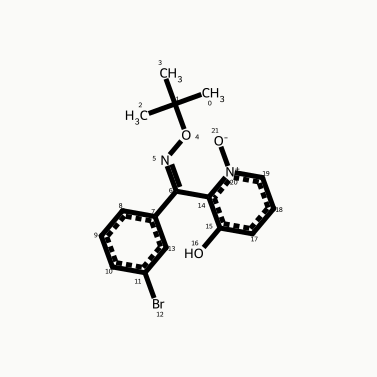 CC(C)(C)ON=C(c1cccc(Br)c1)c1c(O)ccc[n+]1[O-]